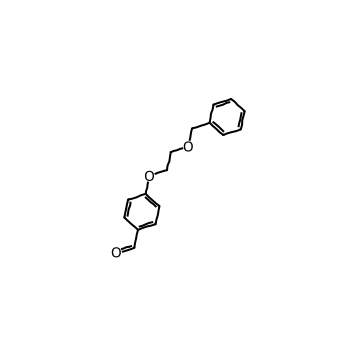 O=Cc1ccc(OCCOCc2ccccc2)cc1